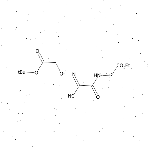 CCOC(=O)CNC(=O)C(C#N)=NOCC(=O)OC(C)(C)C